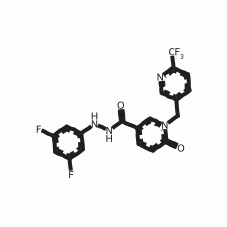 O=C(NNc1cc(F)cc(F)c1)c1ccc(=O)n(Cc2ccc(C(F)(F)F)nc2)c1